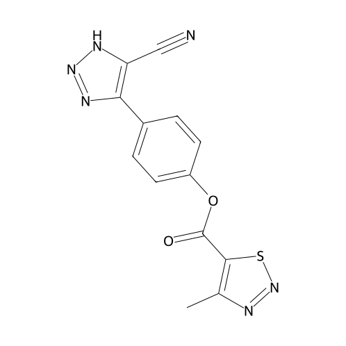 Cc1nnsc1C(=O)Oc1ccc(-c2nn[nH]c2C#N)cc1